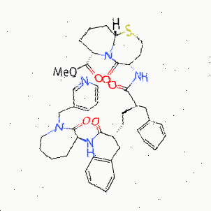 COC(=O)[C@@H]1CCC[C@@H]2SCC[C@H](NC(=O)[C@H](CC[C@H](Cc3ccccc3)C(=O)N[C@H]3CCCCN(Cc4cccnc4)C3=O)Cc3ccccc3)C(=O)N21